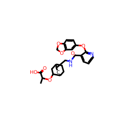 CC(OC1CC2CCC1CC2CNC(=O)c1cccnc1Oc1ccc2c(c1)OCO2)C(=O)O